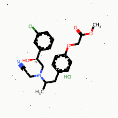 COC(=O)COc1ccc(CC(C)N(CC#N)C[C@@H](O)c2cccc(Cl)c2)cc1.Cl